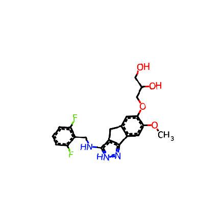 COc1cc2c(cc1OCC(O)CO)Cc1c-2n[nH]c1NCc1c(F)cccc1F